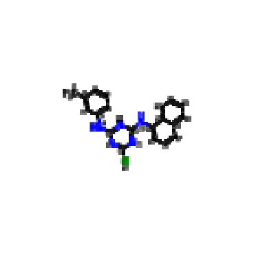 FC(F)(F)c1cccc(Nc2nc(Cl)nc(Nc3cccc4ccccc34)n2)c1